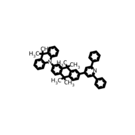 CC1(C)c2ccccc2N(c2ccc3c(c2)C(C)(C)c2cc(-c4cc(-c5ccccc5)nc(-c5ccccc5)c4)ccc2C3(C)C)c2ccccc21